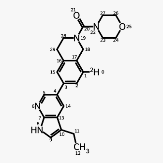 [2H]c1cc(-c2cnc3[nH]cc(CC)c3c2)cc2c1CN(C(=O)N1CCOCC1)CC2